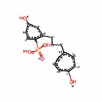 O=P(O)(O)c1ccc(O)cc1CCCc1ccc(O)cc1